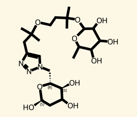 CC1OC(OC(C)(C)CCOC(C)(C)Cc2cn(C[C@H]3O[C@H](O)CC(O)[C@@H]3O)nn2)C(O)C(O)C1O